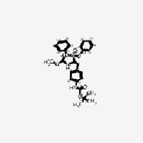 COC(=O)NC(Cc1ccc(NC(=O)OC(C)(C)C)cc1)P(=O)(Oc1ccccc1)Oc1ccccc1